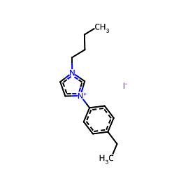 CCCCn1cc[n+](-c2ccc(CC)cc2)c1.[I-]